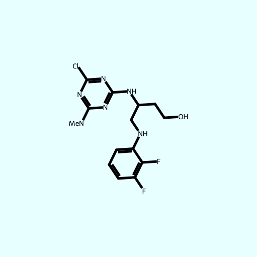 CNc1nc(Cl)nc(NC(CCO)CNc2cccc(F)c2F)n1